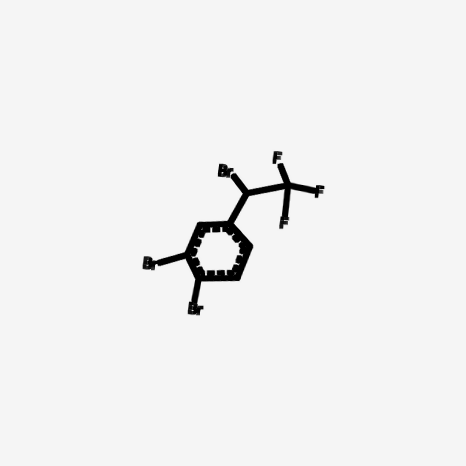 FC(F)(F)C(Br)c1ccc(Br)c(Br)c1